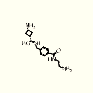 NCCNC(=O)c1ccc(C[SH]=C(O)[C@H]2C[C@H](N)C2)cc1